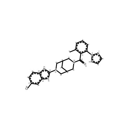 Cc1cccc(-n2nccn2)c1C(=O)N1CC2CC(C1)CN(c1nc3ccc(Cl)cc3s1)C2